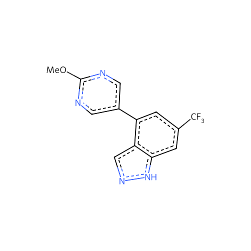 COc1ncc(-c2cc(C(F)(F)F)cc3[nH]ncc23)cn1